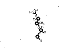 Cc1c(COc2cc(OCc3cncc(C#N)c3)c(C=O)cc2Cl)cccc1-c1cccc(OCC(CO)CO)c1Cl